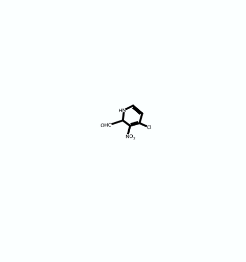 O=CC1NC=CC(Cl)=C1[N+](=O)[O-]